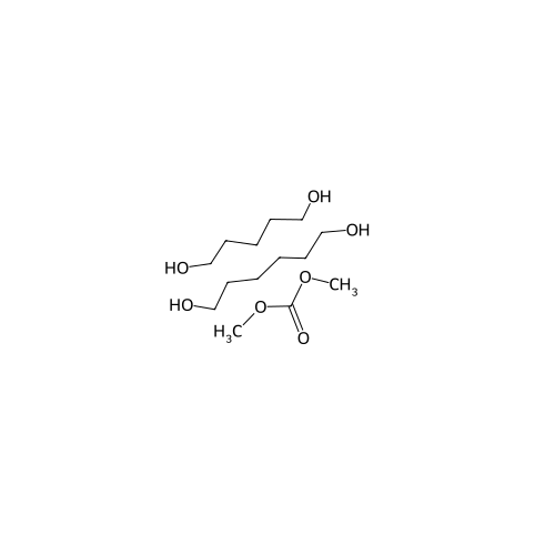 COC(=O)OC.OCCCCCCO.OCCCCCO